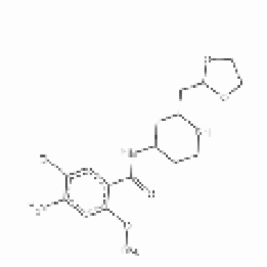 CCCCOc1cc(N)c(Cl)cc1C(=O)NC1CCNC(CC2OCCO2)C1